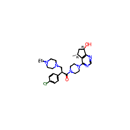 CCN1CCN(CC(C(=O)N2CCN(c3ncnc4c3[C@H](C)C[C@H]4O)CC2)c2ccc(Cl)cc2)CC1